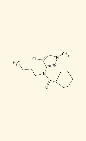 CCCCN(C(=O)C1CCCCC1)c1nn(C)cc1Cl